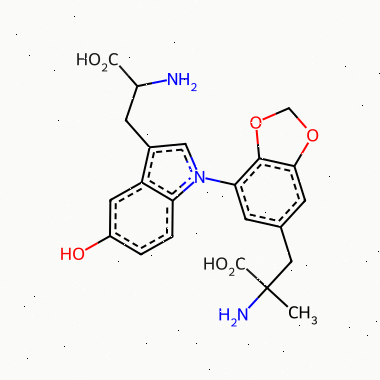 CC(N)(Cc1cc2c(c(-n3cc(CC(N)C(=O)O)c4cc(O)ccc43)c1)OCO2)C(=O)O